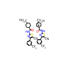 N#Cc1sc(NC(=O)C23CCC(C(=O)O)(CC2)CC3)nc1-c1cccc(C(F)(F)F)c1.N#Cc1sc(NC(=O)C2CCC(C(=O)O)CC2)nc1-c1cccc(C(F)(F)F)c1